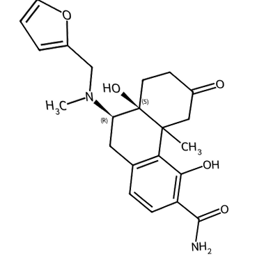 CN(Cc1ccco1)[C@@H]1Cc2ccc(C(N)=O)c(O)c2C2(C)CC(=O)CC[C@@]12O